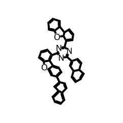 C1=CC2C=CC(c3nc(C4=CC=CC5c6ccccc6OC45)nc(-c4cccc5oc6cc(-c7ccc8ccccc8c7)ccc6c45)n3)=CC2C=C1